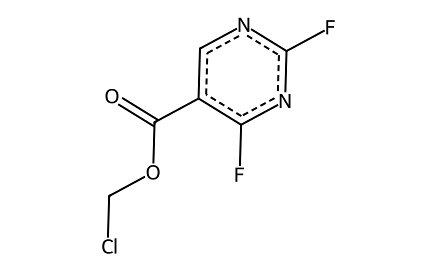 O=C(OCCl)c1cnc(F)nc1F